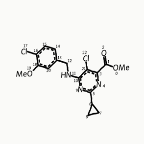 COC(=O)c1nc(C2CC2)nc(NCc2ccc(Cl)c(OC)c2)c1Cl